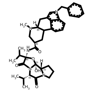 CC(C)[C@H]1C(=O)N2CCC[C@H]2[C@]2(O)O[C@](NC(=O)[C@@H]3CC4c5cccc6c5c(cn6Cc5ccccc5)C[C@H]4N(C)C3)(C(C)C)C(=O)N12